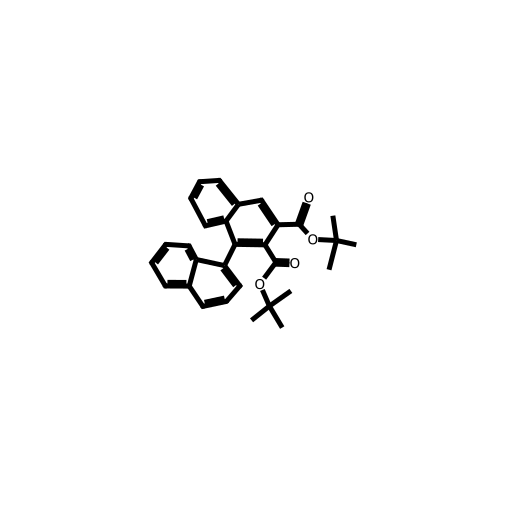 CC(C)(C)OC(=O)c1cc2ccccc2c(-c2cccc3ccccc23)c1C(=O)OC(C)(C)C